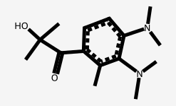 Cc1c(C(=O)C(C)(C)O)ccc(N(C)C)c1N(C)C